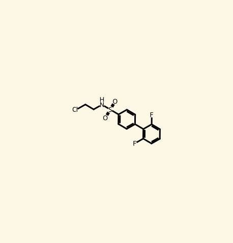 O=S(=O)(NCCCl)c1ccc(-c2c(F)cccc2F)cc1